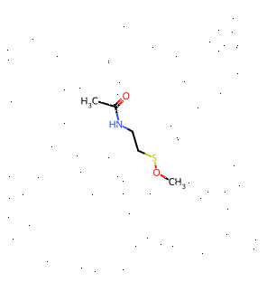 COSCCNC(C)=O